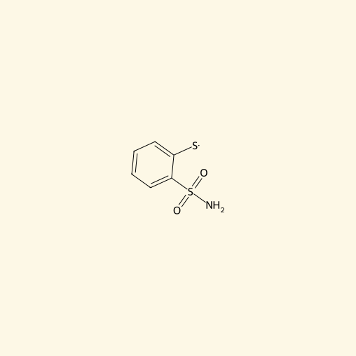 NS(=O)(=O)c1ccccc1[S]